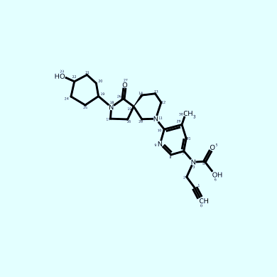 C#CCN(C(=O)O)c1cnc(N2CCC[C@]3(CCN(C4CCC(O)CC4)C3=O)C2)c(C)c1